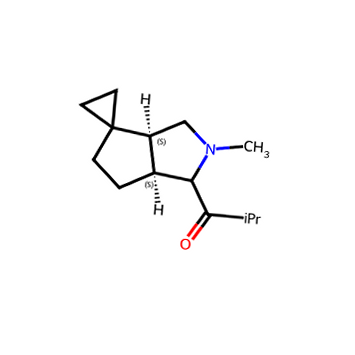 CC(C)C(=O)C1[C@H]2CCC3(CC3)[C@H]2CN1C